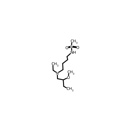 CCC(CN(CC)CCCCNS(C)(=O)=O)OC